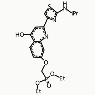 CCOP(=O)(COc1ccc2c(O)cc(-c3csc(NC(C)C)n3)nc2c1)OCC